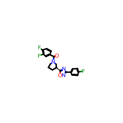 O=C(c1ccc(F)c(F)c1)N1CCC[C@H](c2nc(-c3ccc(F)cc3)no2)C1